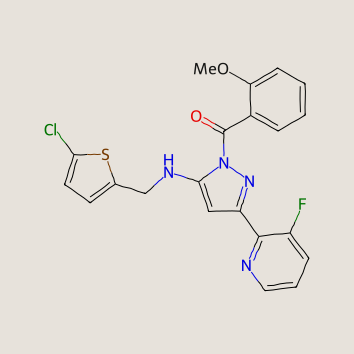 COc1ccccc1C(=O)n1nc(-c2ncccc2F)cc1NCc1ccc(Cl)s1